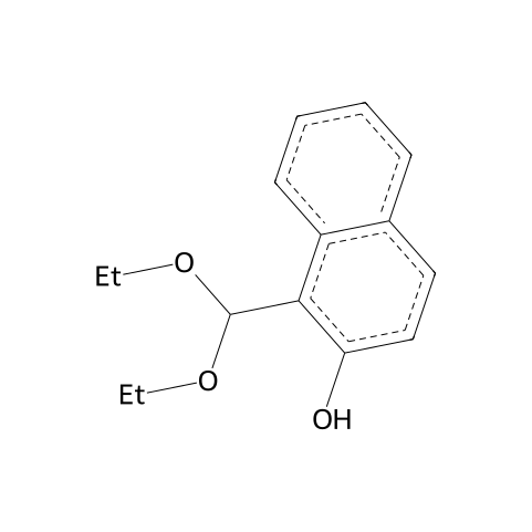 CCOC(OCC)c1c(O)ccc2ccccc12